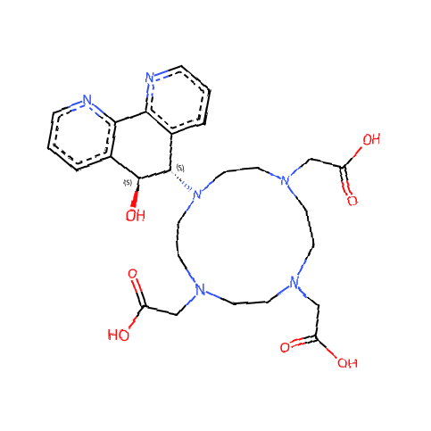 O=C(O)CN1CCN(CC(=O)O)CCN([C@H]2c3cccnc3-c3ncccc3[C@@H]2O)CCN(CC(=O)O)CC1